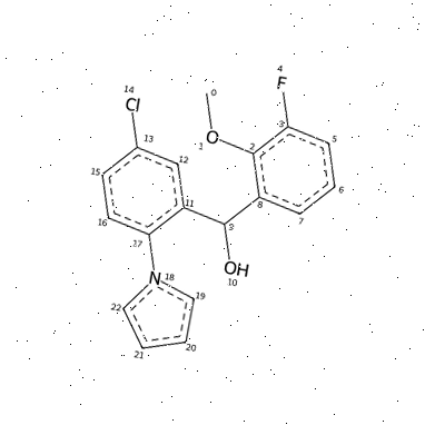 COc1c(F)cccc1C(O)c1cc(Cl)ccc1-n1cccc1